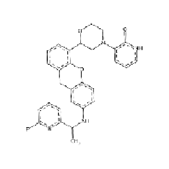 CC(Nc1ccc2c(c1)Cc1cccc(C3CN(c4ccc[nH]c4=O)CCO3)c1O2)c1cccc(F)n1